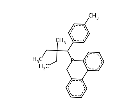 CCC(C)(CC)C(c1ccc(C)cc1)P1Cc2ccccc2-c2ccccc21